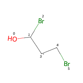 OC(Br)[CH]CBr